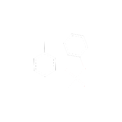 CS(=O)(=O)Oc1ccccc1.Cc1ccccc1